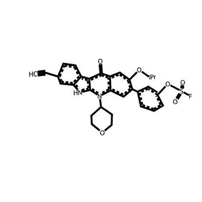 C#Cc1ccc2c(c1)[nH]c1c2c(=O)c2cc(OC(C)C)c(-c3cccc(OS(=O)(=O)F)c3)cc2n1C1CCOCC1